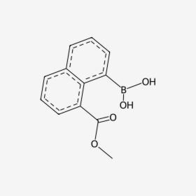 COC(=O)c1cccc2cccc(B(O)O)c12